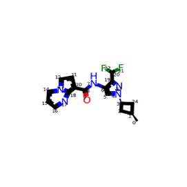 C[C@H]1C[C@H](n2cc(NC(=O)c3ccn4cccnc34)c(C(F)F)n2)C1